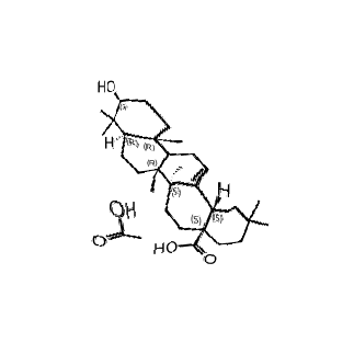 CC(=O)O.CC1(C)CC[C@]2(C(=O)O)CC[C@]3(C)C(=CCC4[C@@]5(C)CC[C@H](O)C(C)(C)[C@@H]5CC[C@]43C)[C@@H]2C1